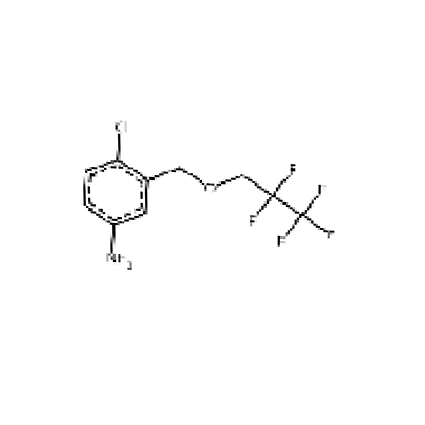 Nc1ccc(Cl)c(COCC(F)(F)C(F)(F)F)c1